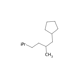 CC(C)CCC(C)CC1CCCC1